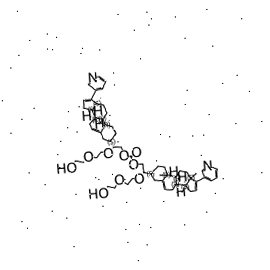 C[C@]12CC[C@H](C(COC(=O)OCC(OCCOCCO)[C@H]3CC[C@@]4(C)C(=CC[C@@H]5[C@@H]4CC[C@]4(C)C(c6cccnc6)=CC[C@@H]54)C3)OCCOCCO)CC1=CC[C@@H]1[C@@H]2CC[C@]2(C)C(c3cccnc3)=CC[C@@H]12